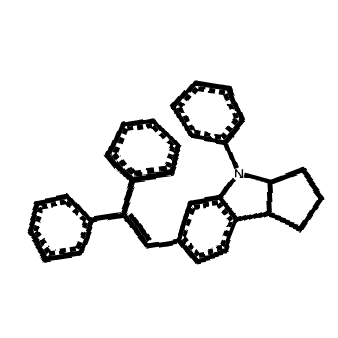 C(=C(c1ccccc1)c1ccccc1)c1ccc2c(c1)N(c1ccccc1)C1CCCC21